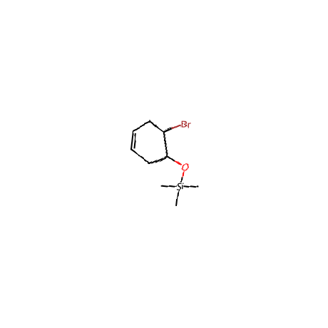 C[Si](C)(C)OC1CC=CCC1Br